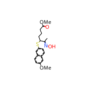 COC(=O)CCCC(Sc1ccc2cc(OC)ccc2c1)C(C)=NO